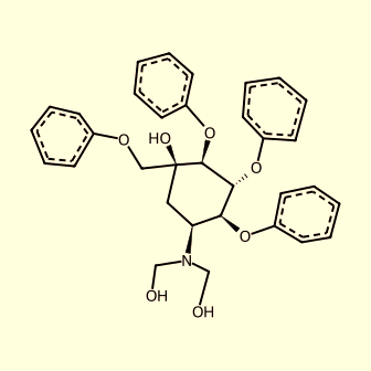 OCN(CO)[C@H]1C[C@](O)(COc2ccccc2)[C@@H](Oc2ccccc2)[C@H](Oc2ccccc2)[C@H]1Oc1ccccc1